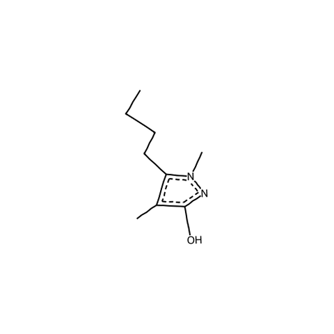 CCCCc1c(C)c(O)nn1C